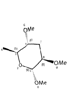 CO[C@@H]1O[C@@H](C)[C@H](OC)C[C@H]1OC